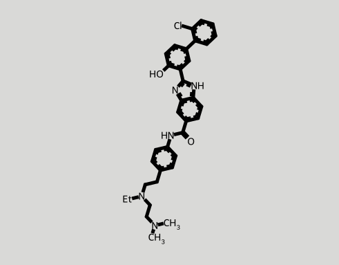 CCN(CCc1ccc(NC(=O)c2ccc3[nH]c(-c4cc(-c5ccccc5Cl)ccc4O)nc3c2)cc1)CCN(C)C